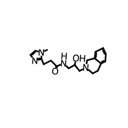 Cn1ccnc1CCC(=O)NCC(O)CN1CCc2ccccc2C1